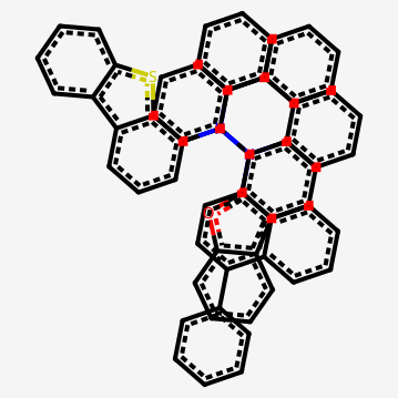 c1ccc(-c2ccccc2N(c2ccccc2-c2ccccc2N(c2cccc3c2oc2ccccc23)c2cccc3c2sc2ccccc23)c2ccc(-c3ccccc3)c3ccccc23)cc1